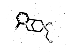 C[N+]1(CCO)CC2CC(C1)c1cccc(=O)n1C2